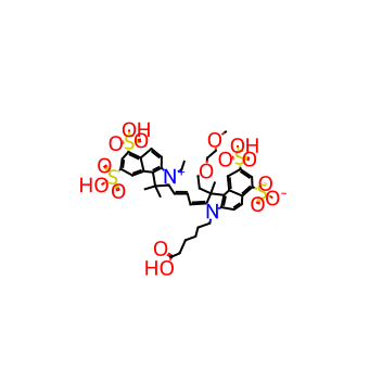 CC[N+]1=C(/C=C/C=C2/N(CCCCCC(=O)O)c3ccc4c(S(=O)(=O)[O-])cc(S(=O)(=O)O)cc4c3C2(C)CCOCCOC)C(C)(C)c2c1ccc1c(S(=O)(=O)O)cc(S(=O)(=O)O)cc21